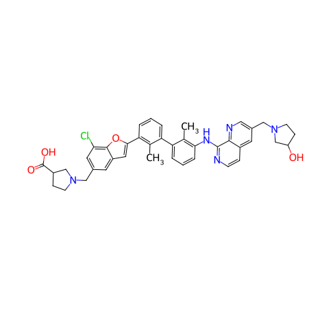 Cc1c(Nc2nccc3cc(CN4CCC(O)C4)cnc23)cccc1-c1cccc(-c2cc3cc(CN4CCC(C(=O)O)C4)cc(Cl)c3o2)c1C